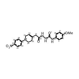 COc1ccc(NC(=O)NNC(=O)CC2=CCN(c3ccc([N+](=O)[O-])cc3)CC2)cc1